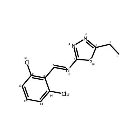 CCc1nnc(N=Cc2c(Cl)cccc2Cl)s1